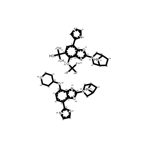 CC(C)(O)c1cc(-c2cscn2)c2oc(N3CC4CCC(C3)N4)nc2c1OC(F)(F)F.c1csc(-c2ccc(OC3CCOCC3)c3nc(N4CC5CC(C4)N5)oc23)n1